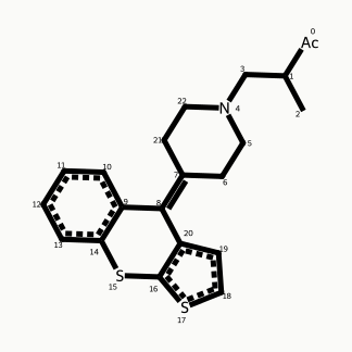 CC(=O)C(C)CN1CCC(=C2c3ccccc3Sc3sccc32)CC1